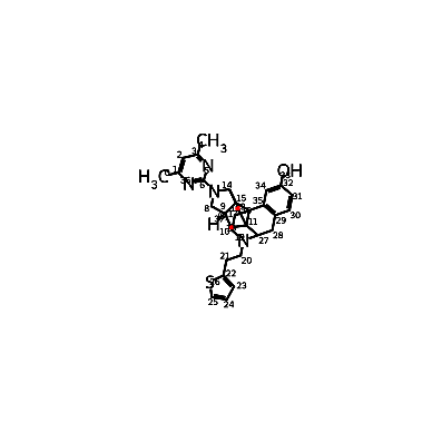 Cc1cc(C)nc(N2C[C@H]3CC45CCC2C3C42CCN(CCc3cccs3)C5Cc3ccc(O)cc32)n1